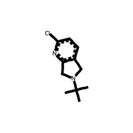 CC(C)(C)N1Cc2ccc(Cl)nc2C1